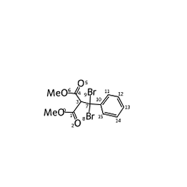 COC(=O)C(C(=O)OC)C(Br)(Br)c1ccccc1